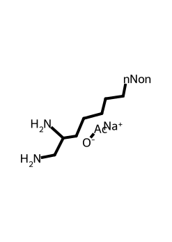 CC(=O)[O-].CCCCCCCCCCCCCCC(N)CN.[Na+]